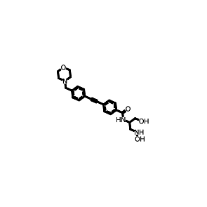 O=C(NC(CO)CNO)c1ccc(C#Cc2ccc(CN3CCOCC3)cc2)cc1